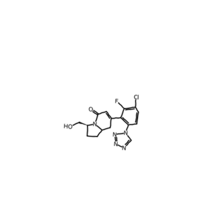 O=C1C=C(c2c(-n3cnnn3)ccc(Cl)c2F)CC2CC[C@@H](CO)N12